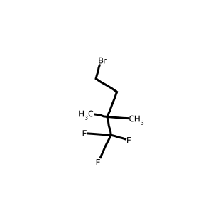 CC(C)(CCBr)C(F)(F)F